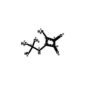 CCCC(C)(C)Nc1c(N)c(=O)c1=O